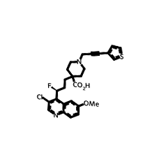 COc1ccc2ncc(Cl)c([C@@H](F)CCC3(C(=O)O)CCN(CC#Cc4ccsc4)CC3)c2c1